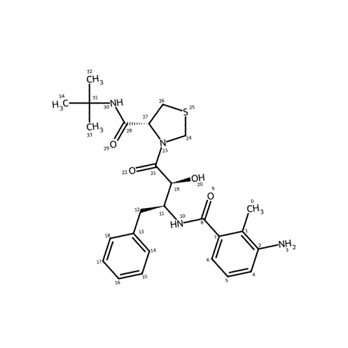 Cc1c(N)cccc1C(=O)N[C@@H](Cc1ccccc1)[C@H](O)C(=O)N1CSC[C@H]1C(=O)NC(C)(C)C